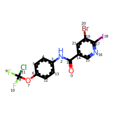 O=C(Nc1ccc(OC(F)(F)Cl)cc1)c1cnc(I)c(Br)c1